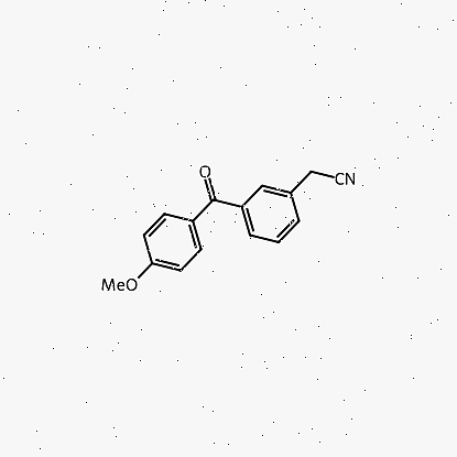 COc1ccc(C(=O)c2cccc(CC#N)c2)cc1